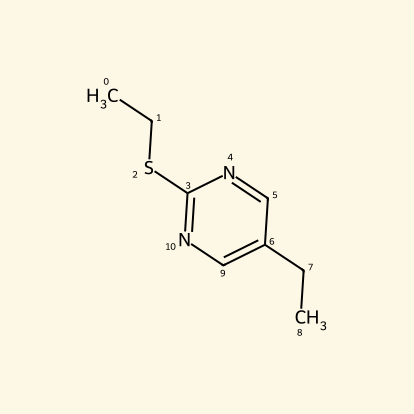 CCSc1ncc(CC)cn1